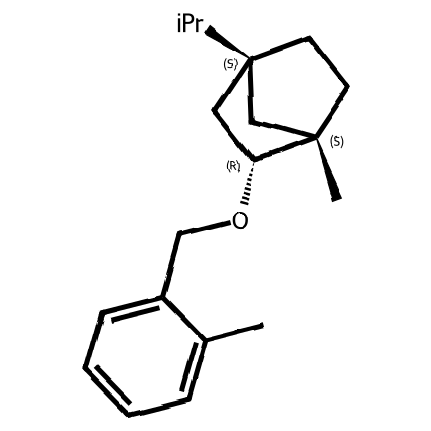 Cc1ccccc1CO[C@@H]1C[C@]2(C(C)C)CC[C@@]1(C)C2